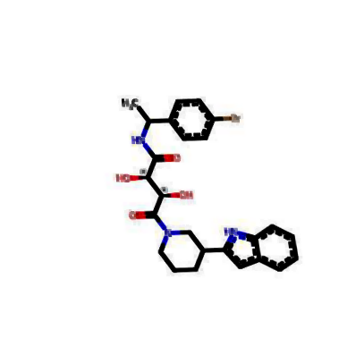 CC(NC(=O)[C@H](O)[C@@H](O)C(=O)N1CCCC(c2cc3ccccc3[nH]2)C1)c1ccc(Br)cc1